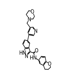 O=C(Nc1ccc2c(c1)CCCO2)c1n[nH]c2ccc(-c3cncc(CN4CCOCC4)c3)cc12